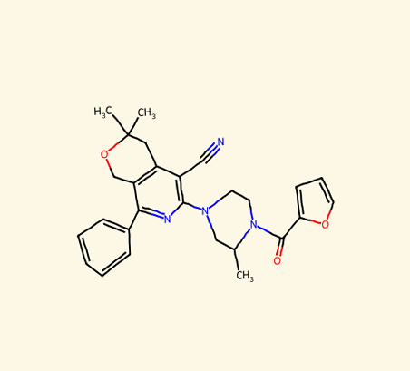 CC1CN(c2nc(-c3ccccc3)c3c(c2C#N)CC(C)(C)OC3)CCN1C(=O)c1ccco1